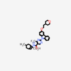 CC1CC2CC(C1)C(NC(=O)c1cnc(-n3c4ccccc4c4cc(OCCC5CCOCC5)ccc43)nc1C(F)(F)F)(C(=O)O)C2